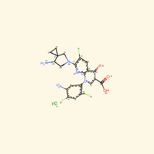 Cl.Nc1cc(-n2cc(C(=O)O)c(=O)c3cc(F)c(N4CC(N)C5(CC5)C4)nc32)c(F)cc1F